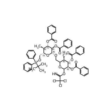 C[C@H]1[C@H](OC(=O)c2ccccc2)[C@@H](OC(=O)c2ccccc2)[C@H](OCC2OC(OC(=N)C(Cl)(Cl)Cl)[C@H](OC(=O)c3ccccc3)[C@@H](OC(=O)c3ccccc3)[C@@H]2C)O[C@@H]1CO[Si](c1ccccc1)(c1ccccc1)C(C)(C)C